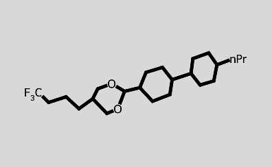 CCCC1CCC(C2CCC(C3OCC(CCCC(F)(F)F)CO3)CC2)CC1